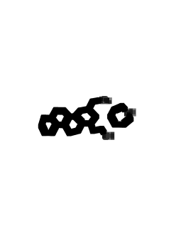 C1=CC=CNC=C1.CC(C)(C)CC1CC2=C(CCc3c2ccc2ccccc32)C(CCO)C1